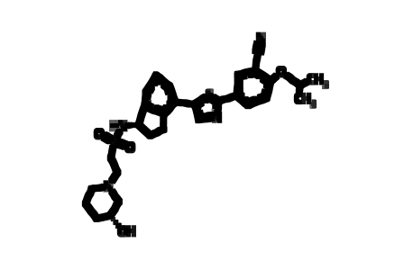 CC(C)Oc1ccc(-c2ncc(-c3cccc4c3CC[C@H]4NS(=O)(=O)CCN3CCC[C@@H](O)C3)s2)cc1C#N